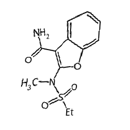 CCS(=O)(=O)N(C)c1oc2ccccc2c1C(N)=O